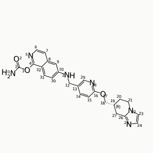 NC(=O)Oc1nccc2cc(NCc3ccc(OC[C@@H]4CCn5ccnc5C4)nc3)ccc12